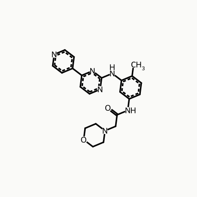 Cc1ccc(NC(=O)CN2CCOCC2)cc1Nc1nccc(-c2ccncc2)n1